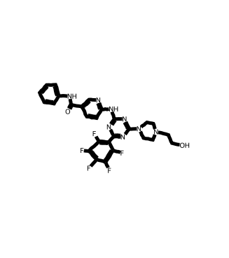 O=C(Nc1ccccc1)c1ccc(Nc2nc(-c3c(F)c(F)c(F)c(F)c3F)nc(N3CCN(CCO)CC3)n2)nc1